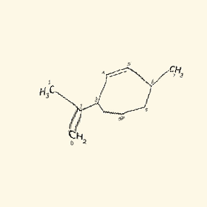 C=C(C)C1C=CC(C)CC1